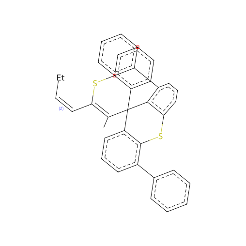 CC/C=C\C1=C(C)C2(c3ccccc3S1)c1cccc(-c3ccccc3)c1Sc1cccc(-c3ccccc3)c12